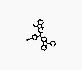 C=CC1=C(/C=C(\C)N(c2ccc(C#N)cc2)c2ccc3c(c2)c2ccccc2n3-c2ccccc2)C(C)(C)c2ccccc21